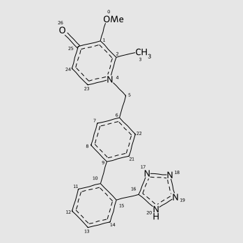 COc1c(C)n(Cc2ccc(-c3ccccc3-c3nnn[nH]3)cc2)ccc1=O